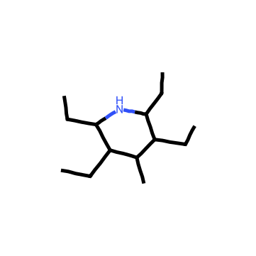 CCC1NC(CC)C(CC)C(C)C1CC